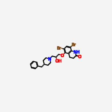 O=C1CCc2c(c(Br)cc(Br)c2OCC(O)CN2CCC(Cc3ccccc3)CC2)N1